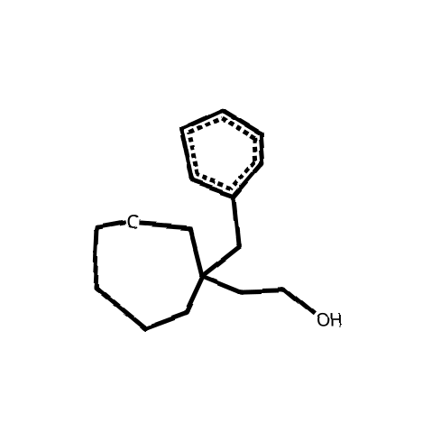 OCCC1(Cc2ccccc2)CCCCCC1